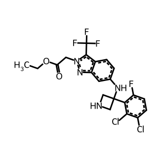 CCOC(=O)Cn1nc2cc(NC3(c4c(F)ccc(Cl)c4Cl)CNC3)ccc2c1C(F)(F)F